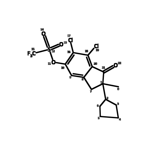 CC1(C2CCCC2)Cc2cc(OS(=O)(=O)C(F)(F)F)c(Cl)c(Cl)c2C1=O